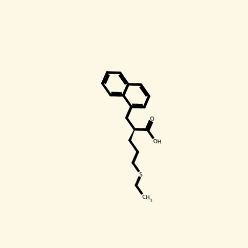 CCSCCC[C@@H](Cc1cccc2ccccc12)C(=O)O